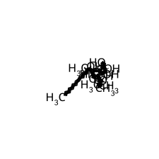 CCCCCCCCCCCCCC[C@@H](C)[C@@H](O)C(CO[C@H]1OC(CO)[C@H](O)[C@H](O)C1O)NC(=O)OCOC(=O)C(C)(C)C